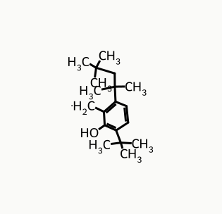 [CH2]c1c(C(C)(C)CC(C)(C)C)ccc(C(C)(C)C)c1O